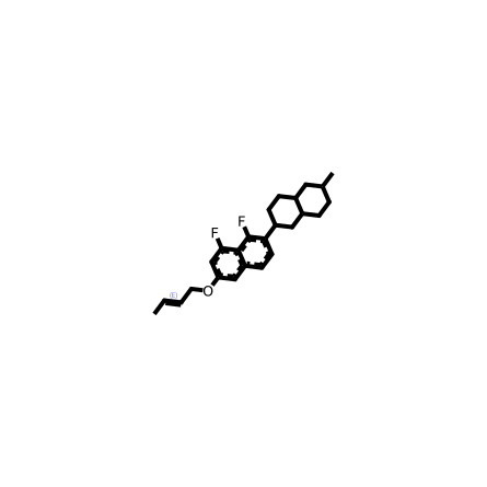 C/C=C/COc1cc(F)c2c(F)c(C3CCC4CC(C)CCC4C3)ccc2c1